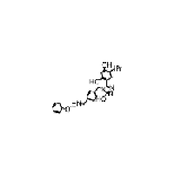 CC(C)c1cc(-c2nnc(O)n2Cc2ccc(CNCCOc3ccccc3)cc2)c(O)cc1O